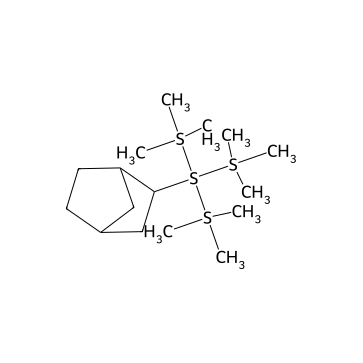 CS(C)(C)S(C1CC2CCC1C2)(S(C)(C)C)S(C)(C)C